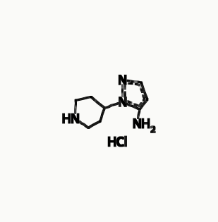 Cl.Nc1ccnn1C1CCNCC1